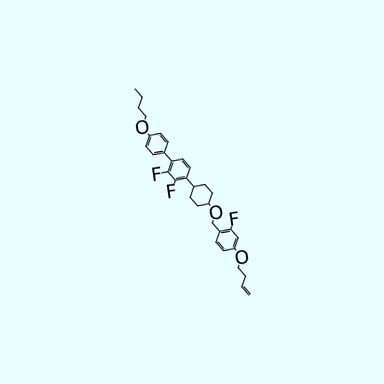 C=CCCOc1ccc(COC2CCC(c3ccc(-c4ccc(OCCCC)cc4)c(F)c3F)CC2)c(F)c1